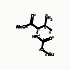 COC(=O)[C@@H](NC(=O)OC(C)(C)C)[C@H](C)N